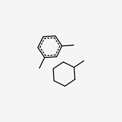 CC1CCCCC1.Cc1cccc(C)c1